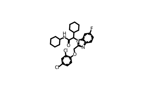 O=C(NC1CCCCC1)C(C1CCCCC1)n1c(COc2ccc(Cl)cc2Cl)nc2ccc(F)cc21